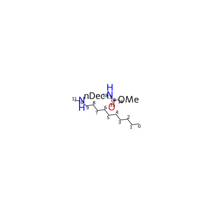 CCCCCCCCCCNC.CCCCCCCCCCNC(=O)OC